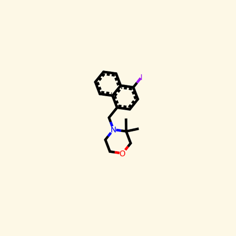 CC1(C)COCCN1Cc1ccc(I)c2ccccc12